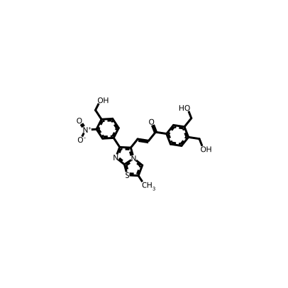 Cc1cn2c(/C=C/C(=O)c3ccc(CO)c(CO)c3)c(-c3ccc(CO)c([N+](=O)[O-])c3)nc2s1